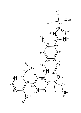 COc1ncnc(C2CC2)c1-c1ncc2c(n1)N(Cc1ccc(-c3nc(C(F)(F)F)c[nH]3)c(F)c1)C(=O)OC2(C)CO